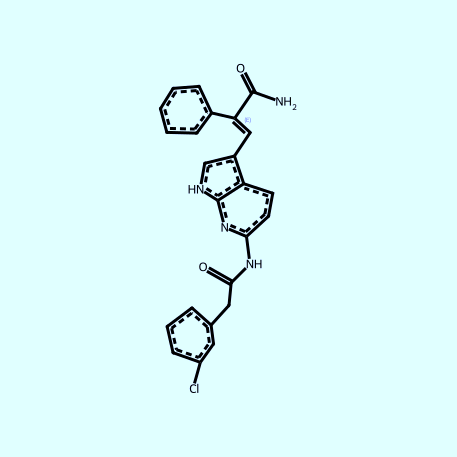 NC(=O)/C(=C/c1c[nH]c2nc(NC(=O)Cc3cccc(Cl)c3)ccc12)c1ccccc1